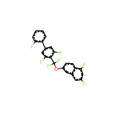 Fc1cc(F)c2ccc(OC(F)(F)c3c(F)cc(-c4ccccc4F)cc3F)cc2c1